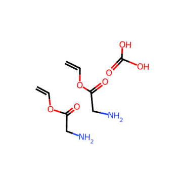 C=COC(=O)CN.C=COC(=O)CN.O=C(O)O